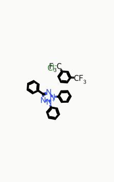 FC(F)(F)c1cccc(C(F)(F)F)c1.[Cl-].c1ccc(-c2nn(-c3ccccc3)[n+](-c3ccccc3)n2)cc1